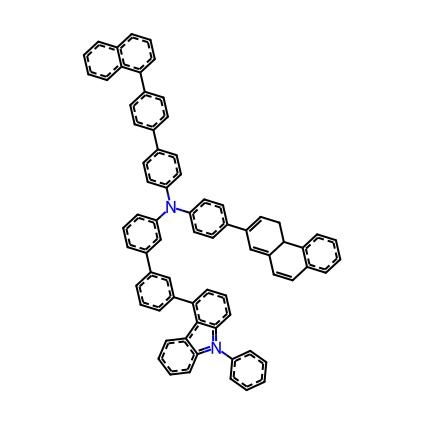 C1=Cc2ccccc2C2CC=C(c3ccc(N(c4ccc(-c5ccc(-c6cccc7ccccc67)cc5)cc4)c4cccc(-c5cccc(-c6cccc7c6c6ccccc6n7-c6ccccc6)c5)c4)cc3)C=C12